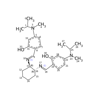 CC(C)N(C)c1ccc(/C=N/[C@@H]2CCCC[C@H]2/N=C/c2ccc(N(C)C(C)C)cc2O)c(O)c1